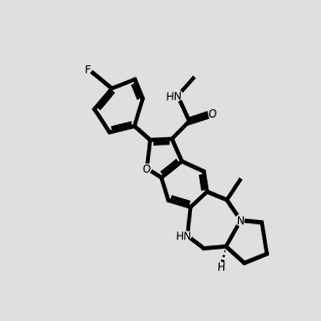 CNC(=O)c1c(-c2ccc(F)cc2)oc2cc3c(cc12)C(C)N1CCC[C@H]1CN3